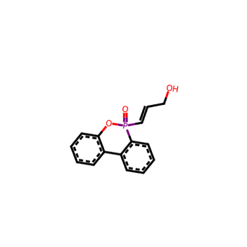 O=P1(/C=C/CO)Oc2ccccc2-c2ccccc21